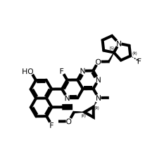 C#Cc1c(F)ccc2cc(O)cc(-c3ncc4c(N(C)[C@@H]5C[C@H]5COC)nc(OC[C@@]56CCCN5C[C@H](F)C6)nc4c3F)c12